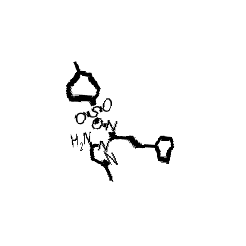 Cc1ccc(S(=O)(=O)ON=C(CCc2ccccc2)n2nc(C)cc2N)cc1